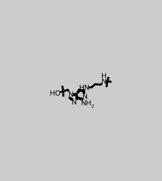 CC(C)(O)Cn1cnc2c(N)nc(NCCCNC(C)(C)C)cc21